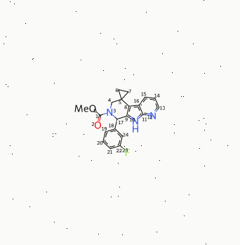 COC(=O)N1CC2(CC2)c2c([nH]c3ncccc23)C1c1cccc(F)c1